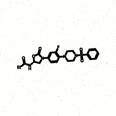 CCC(=O)N[C@@H]1CN(c2ccc(N3CCN(S(=O)(=O)c4ccccc4)CC3)c(F)c2)C(=O)O1